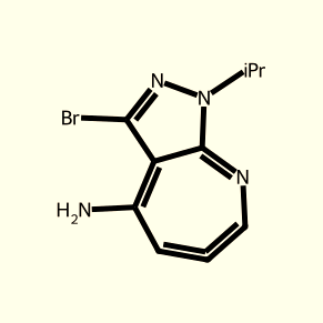 CC(C)n1nc(Br)c2c1=NC=C=CC=2N